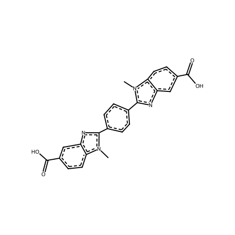 Cn1c(-c2ccc(-c3nc4cc(C(=O)O)ccc4n3C)cc2)nc2cc(C(=O)O)ccc21